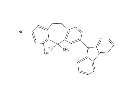 CC1(C)c2cc(-n3c4ccccc4c4ccccc43)ccc2CCc2cc(C#N)cc(C#N)c21